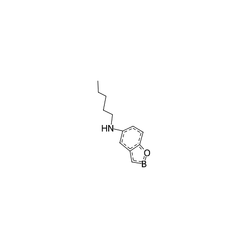 CCCCCNc1ccc2obcc2c1